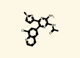 CC(=O)Nc1nc(-c2cc(Cl)c3ncccc3c2)c(-c2ccn(C)n2)nc1N